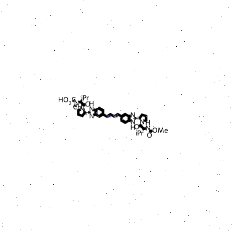 COC(=O)N[C@H](C(=O)N1CCC[C@H]1c1nc2cc(/C=C/C=C/c3ccc4[nH]c([C@@H]5CCCN5C(=O)[C@H](C(C)C)N(C)C(=O)O)nc4c3)ccc2[nH]1)C(C)C